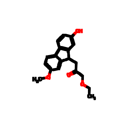 CCOCC(=O)CC1c2cc(O)ccc2-c2ccc(OC)cc21